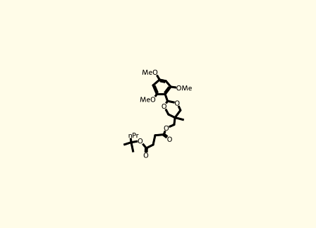 CCCC(C)(C)OC(=O)CCC(=O)OCC1(C)COC(c2c(OC)cc(OC)cc2OC)OC1